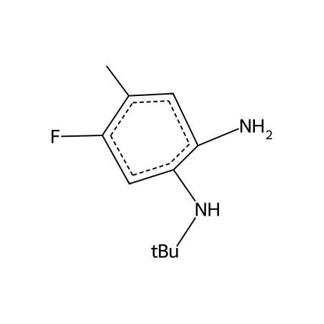 Cc1cc(N)c(NC(C)(C)C)cc1F